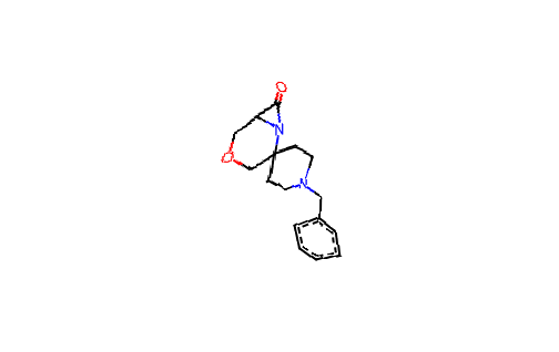 O=C1C2COCC3(CCN(Cc4ccccc4)CC3)N12